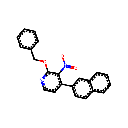 O=[N+]([O-])c1c(-c2ccc3ccccc3c2)ccnc1OCc1ccccc1